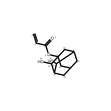 C=CC(=O)OC12CC3CC(C1)C(O)C(C3)C2O